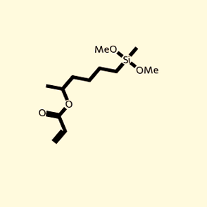 C=CC(=O)OC(C)CCCC[Si](C)(OC)OC